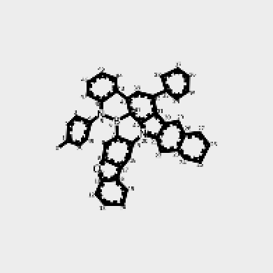 Cc1ccc(N2B3c4cc5oc6ccccc6c5cc4-n4c5cc6ccccc6cc5c5c(-c6ccccc6)cc(c3c54)-c3ccccc32)cc1